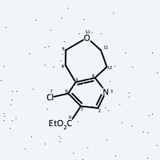 CCOC(=O)c1cnc2c(c1Cl)CCOCC2